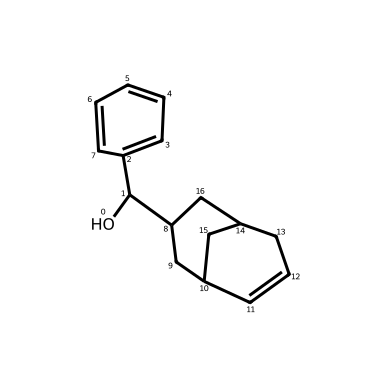 OC(c1ccccc1)C1CC2C=CCC(C2)C1